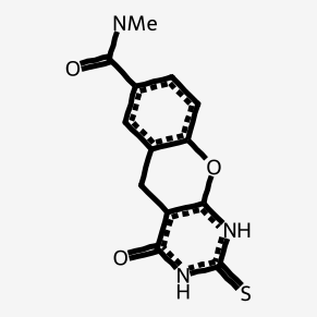 CNC(=O)c1ccc2c(c1)Cc1c([nH]c(=S)[nH]c1=O)O2